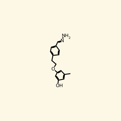 Cc1cc(O)cc(OCCc2ccc(C=NN)cc2)c1